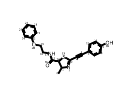 CC1N=C(C#Cc2ccc(O)cc2)SC1C(=O)NCCOc1ccccc1